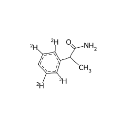 [2H]c1cc([2H])c([2H])c(C(C)C(N)=O)c1[2H]